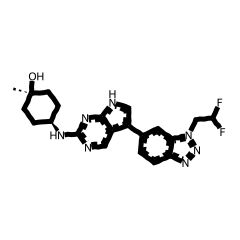 C[C@]1(O)CC[C@@H](Nc2ncc3c(-c4ccc5nnn(CC(F)F)c5c4)c[nH]c3n2)CC1